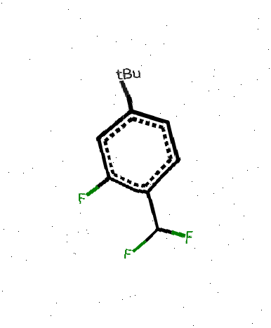 CC(C)(C)c1ccc(C(F)F)c(F)c1